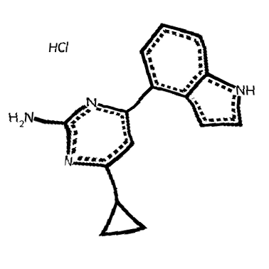 Cl.Nc1nc(-c2cccc3[nH]ccc23)cc(C2CC2)n1